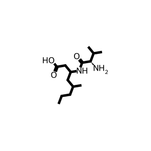 CCCC(C)CC(CC(=O)O)NC(=O)[C@@H](N)C(C)C